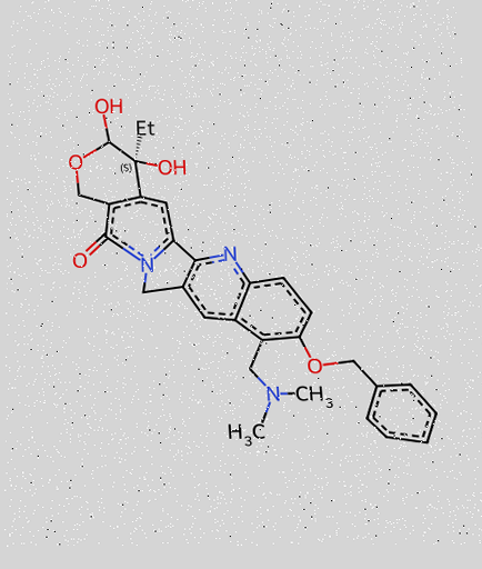 CC[C@]1(O)c2cc3n(c(=O)c2COC1O)Cc1cc2c(CN(C)C)c(OCc4ccccc4)ccc2nc1-3